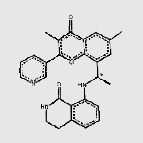 Cc1cc([C@@H](C)Nc2cccc3c2C(=O)NCC3)c2oc(-c3cccnc3)c(C)c(=O)c2c1